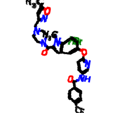 Br.Cc1cc(CN2CCN(C(=O)c3cc4cc(Oc5ccc(NC(=O)c6ccc(C(F)(F)F)cc6)cn5)ccc4n3C)CC2)no1